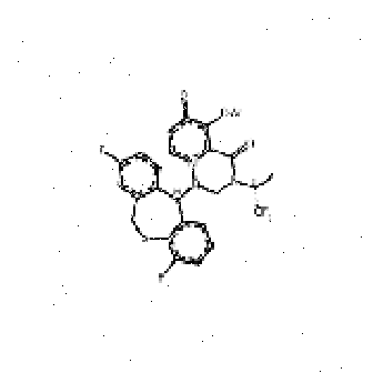 CC(=O)Oc1c2n(ccc1=O)N([C@@H]1c3ccc(F)cc3CSc3c(F)cccc31)CN([C@H](C)C(F)(F)F)C2=O